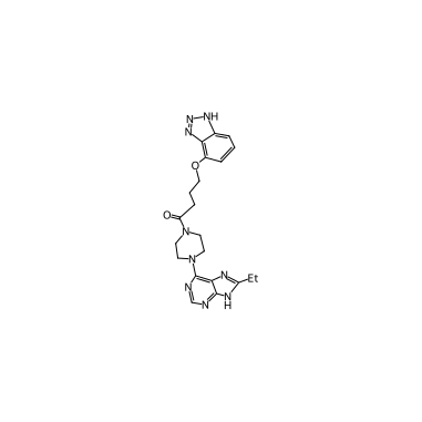 CCc1nc2c(N3CCN(C(=O)CCCOc4cccc5[nH]nnc45)CC3)ncnc2[nH]1